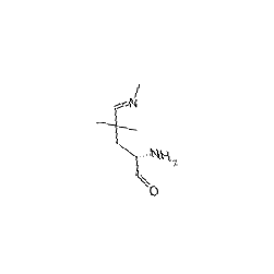 C/N=C/C(C)(C)C[C@H](N)C=O